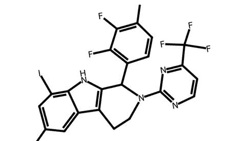 Cc1cc(I)c2[nH]c3c(c2c1)CCN(c1nccc(C(F)(F)F)n1)C3c1ccc(C)c(F)c1F